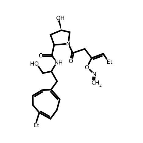 C=NO/C(=C\CC)CC(=O)N1C[C@H](O)CC1C(=O)NC(CO)CC1=C/C/C=C(/CC)C/C=C\1